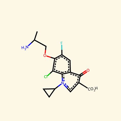 CC(N)COc1c(F)cc2c(=O)c(C(=O)O)cn(C3CC3)c2c1Cl